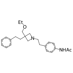 CCOCC1(CCc2ccccc2)CN(CCc2ccc(NC(C)=O)cc2)C1